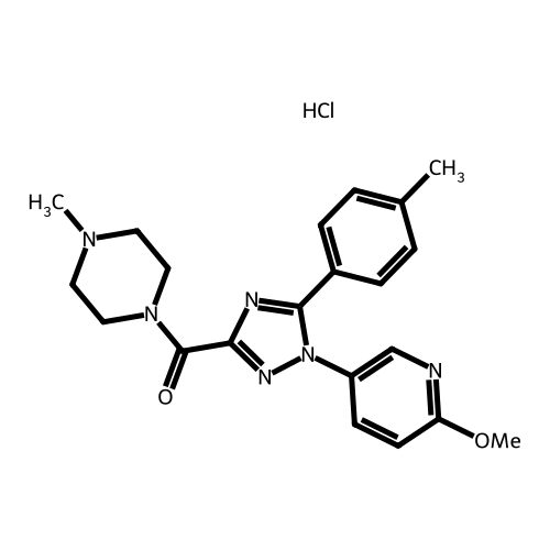 COc1ccc(-n2nc(C(=O)N3CCN(C)CC3)nc2-c2ccc(C)cc2)cn1.Cl